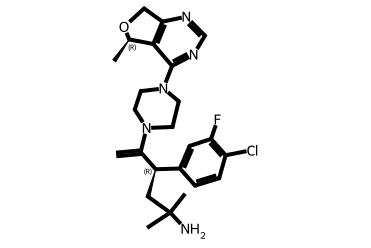 C=C([C@H](CC(C)(C)N)c1ccc(Cl)c(F)c1)N1CCN(c2ncnc3c2[C@@H](C)OC3)CC1